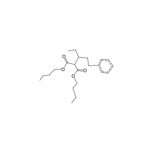 CCCCOC(=O)C(C(=O)OCCCC)C(CC)CCc1ccccc1